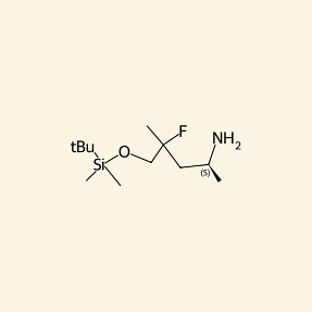 C[C@H](N)CC(C)(F)CO[Si](C)(C)C(C)(C)C